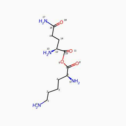 NCCCC[C@H](N)C(=O)OC(=O)[C@@H](N)CCC(N)=O